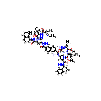 CN[C@@H](C)C(=O)N[C@H](C(=O)N1C[C@@H](NC(=O)c2ccc3cc(C(=O)N[C@H]4C[C@@H](C(=O)N[C@@H]5CCCc6ccccc65)N(C(=O)[C@@H](NC(=O)[C@H](C)NC)C(C)(C)C)C4)ccc3c2)C[C@H]1C(=O)N[C@@H]1CCCc2ccccc21)C(C)(C)C